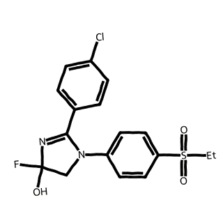 CCS(=O)(=O)c1ccc(N2CC(O)(F)N=C2c2ccc(Cl)cc2)cc1